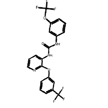 O=C(Nc1cccc(OC(F)(F)F)c1)Nc1cccnc1Oc1cccc(C(F)(F)F)c1